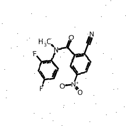 CN(C(=O)c1cc([N+](=O)[O-])ccc1C#N)c1ccc(F)cc1F